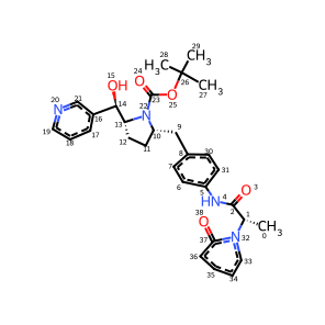 C[C@@H](C(=O)Nc1ccc(C[C@@H]2CC[C@H]([C@H](O)c3cccnc3)N2C(=O)OC(C)(C)C)cc1)n1ccccc1=O